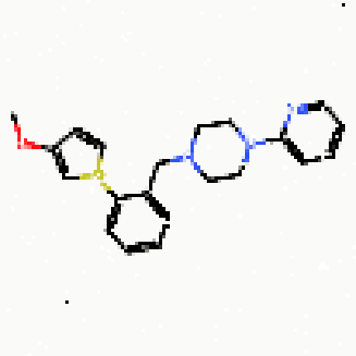 COC1=C[SH](c2ccccc2CN2CCN(c3ccccn3)CC2)C=C1